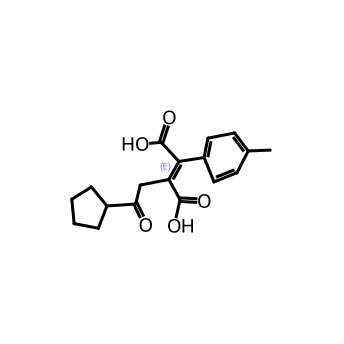 Cc1ccc(/C(C(=O)O)=C(/CC(=O)C2CCCC2)C(=O)O)cc1